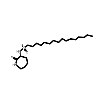 CCCCCCCCCCCCCCCCS(=O)(=O)N[C@H]1CCCCNC1=O